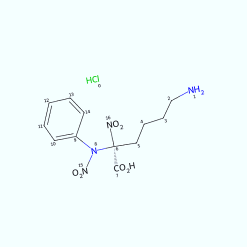 Cl.NCCCC[C@@](C(=O)O)(N(c1ccccc1)[N+](=O)[O-])[N+](=O)[O-]